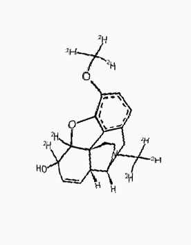 [2H]C([2H])([2H])Oc1ccc2c3c1OC1([2H])C([2H])(O)C=C[C@H]4[C@@H](C2)N(C([2H])([2H])[2H])CC[C@@]341